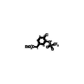 CCOC(=O)Cc1ccc(Cl)c(OS(=O)(=O)C(F)(F)F)c1